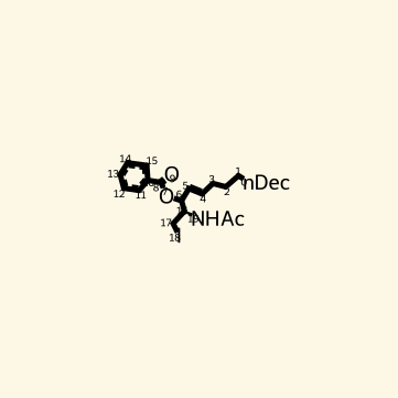 CCCCCCCCCCCCC/C=C/C(OC(=O)c1ccccc1)[C@H](CI)NC(C)=O